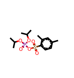 Cc1ccc(S(=O)(=O)OP(=O)(OC(C)C)OC(C)C)c(C)c1